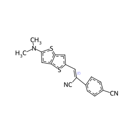 CN(C)c1cc2sc(/C=C(\C#N)c3ccc(C#N)cc3)cc2s1